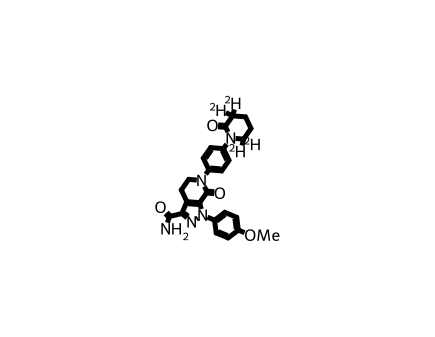 [2H]C1([2H])CCC([2H])([2H])N(c2ccc(N3CCc4c(C(N)=O)nn(-c5ccc(OC)cc5)c4C3=O)cc2)C1=O